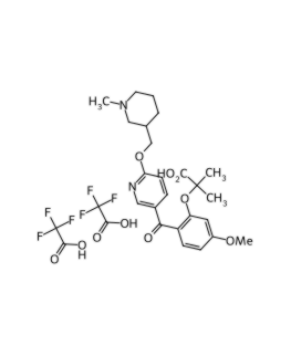 COc1ccc(C(=O)c2ccc(OCC3CCCN(C)C3)nc2)c(OC(C)(C)C(=O)O)c1.O=C(O)C(F)(F)F.O=C(O)C(F)(F)F